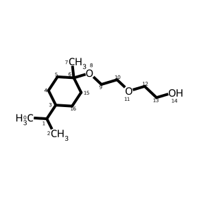 CC(C)C1CCC(C)(OCCOCCO)CC1